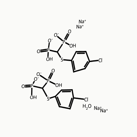 O.O=P([O-])(O)C(Sc1ccc(Cl)cc1)P(=O)([O-])O.O=P([O-])(O)C(Sc1ccc(Cl)cc1)P(=O)([O-])O.[Na+].[Na+].[Na+].[Na+]